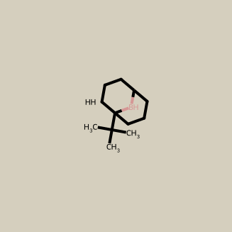 CC(C)(C)C12BC(CCC1)CCC2.[HH]